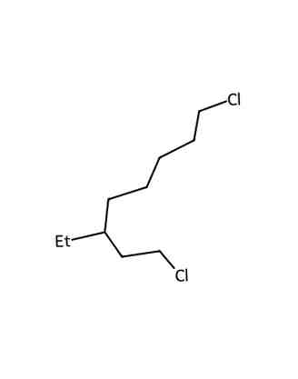 CCC(CCCl)CCCCCCl